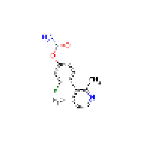 Cc1nccc(C(F)(F)F)c1-c1ccc(OC(N)=O)cc1F